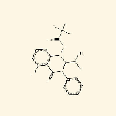 CC(N)C1N(OC(=O)C(F)(F)F)c2cccc(Cl)c2C(=O)N1c1ccccc1